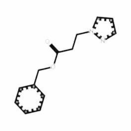 O=C(CCn1cccn1)OCc1ccccc1